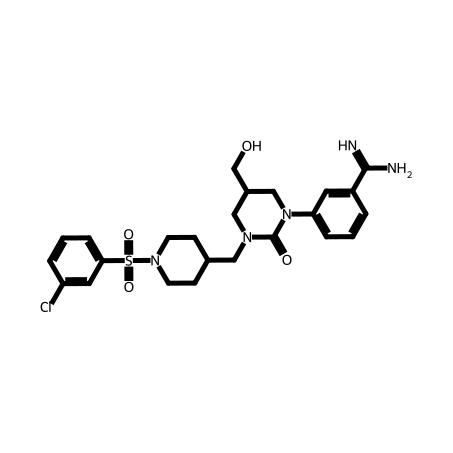 N=C(N)c1cccc(N2CC(CO)CN(CC3CCN(S(=O)(=O)c4cccc(Cl)c4)CC3)C2=O)c1